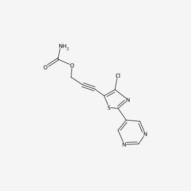 NC(=O)OCC#Cc1sc(-c2cncnc2)nc1Cl